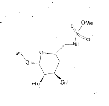 COS(=O)(=O)NC[C@@H]1C[C@@H](O)[C@@H](O)[C@H](OC(C)C)O1